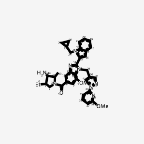 CCC1CN(C(=O)c2cc(OC)c3c(c2)nc(-c2cc4ccccc4n2CC2CC2)n3Cc2cnn(-c3cccc(OC)n3)c2)C(C)C1N